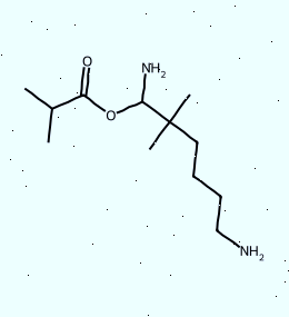 CC(C)C(=O)OC(N)C(C)(C)CCCCN